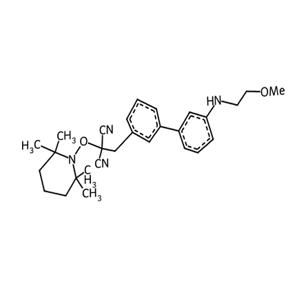 COCCNc1cccc(-c2cccc(CC(C#N)(C#N)ON3C(C)(C)CCCC3(C)C)c2)c1